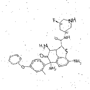 Cc1cc(Oc2ccccc2)ccc1C1(N)C(=O)C(N)C2c3c1ccc(N)c3SC2C(=O)N[C@H]1CNC[C@H](F)C1